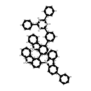 c1ccc(-c2ccc3c(c2)c2ccccc2n3-c2ccc3oc4ccccc4c3c2-c2ccc(-c3cccc(-c4nc(-c5ccccc5)nc(-c5ccccc5)n4)c3)c3c2oc2ccccc23)cc1